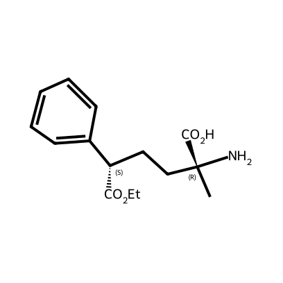 CCOC(=O)[C@@H](CC[C@@](C)(N)C(=O)O)c1ccccc1